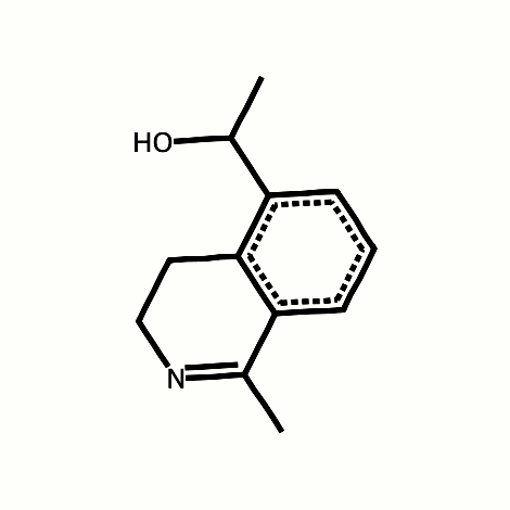 CC1=NCCc2c1cccc2C(C)O